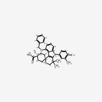 Cc1cc(-n2c3c(c4c(OCc5ccccc5)cccc42)[C@]2(CC[C@](F)(C(=O)O)CC2)OCC3(C)C)ccc1F